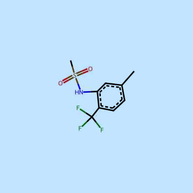 Cc1ccc(C(F)(F)F)c(NS(C)(=O)=O)c1